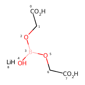 O=C(O)COB(O)OCC(=O)O.[LiH]